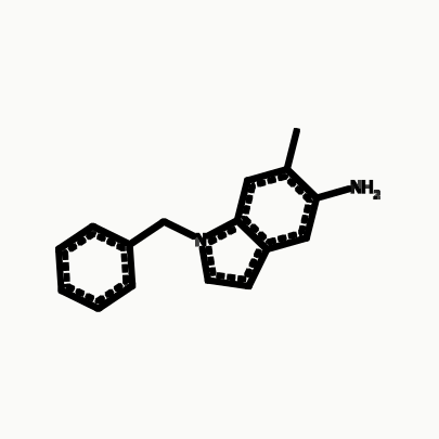 Cc1cc2c(ccn2Cc2ccccc2)cc1N